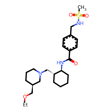 CCOC[C@H]1CCCN(C[C@H]2CCCC[C@@H]2NC(=O)c2ccc(CNS(C)(=O)=O)cc2)C1